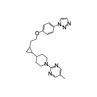 Cc1cnc(N2CCC(C3CC3CCOc3ccc(-n4ccnn4)cc3)CC2)nc1